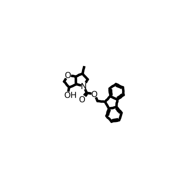 CC1CN(C(=O)OCC2c3ccccc3-c3ccccc32)C2C(O)COC12